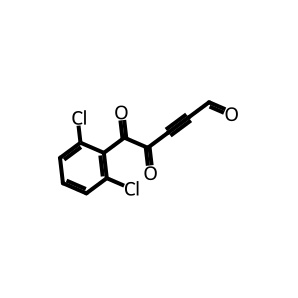 O=CC#CC(=O)C(=O)c1c(Cl)cccc1Cl